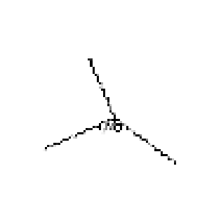 CCCCCCCCC=CCCCCCCC(CCCCCCCCCCCCCCCCCC)(CCCCCCCCCCCCCCCCCC)C(N)=O